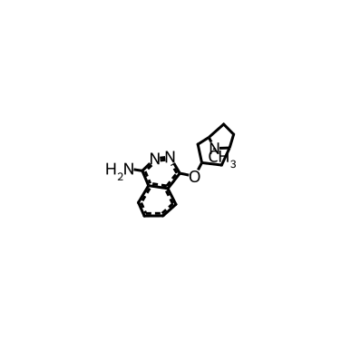 CN1C2CCC1CC(Oc1nnc(N)c3ccccc13)C2